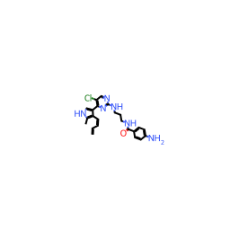 C=C/C=C\c1c(-c2nc(NCCCNC(=O)c3ccc(N)cc3)ncc2Cl)c[nH]c1C